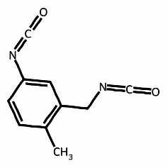 Cc1ccc(N=C=O)cc1CN=C=O